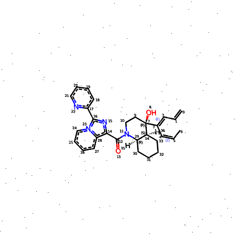 C=C/C=C(\C=C/C)[C@@]1(O)CCN(C(=O)c2nc(-c3ccccn3)n3ccccc23)[C@@H]2CCCC[C@@H]21